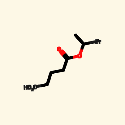 CC(C)C(C)OC(=O)CCCC(=O)O